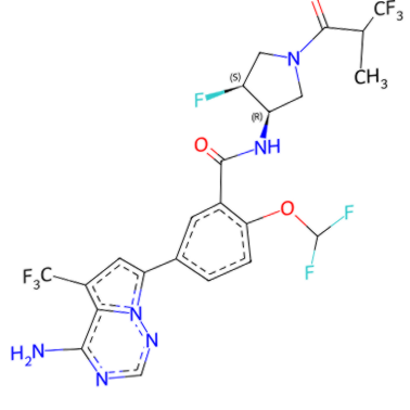 CC(C(=O)N1C[C@H](F)[C@H](NC(=O)c2cc(-c3cc(C(F)(F)F)c4c(N)ncnn34)ccc2OC(F)F)C1)C(F)(F)F